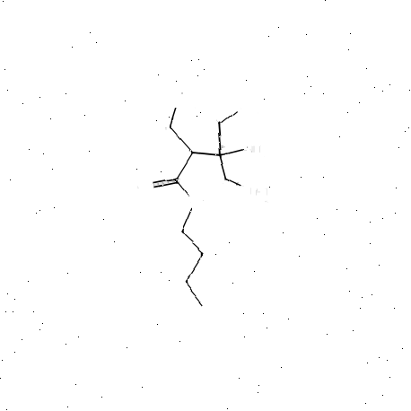 CCCCOC(=O)C(CC)C(N)(CC)CC.Cl